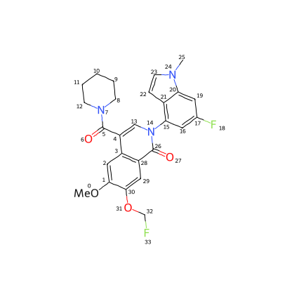 COc1cc2c(C(=O)N3CCCCC3)cn(-c3cc(F)cc4c3ccn4C)c(=O)c2cc1OCF